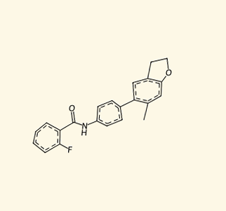 Cc1cc2c(cc1-c1ccc(NC(=O)c3ccccc3F)cc1)CCO2